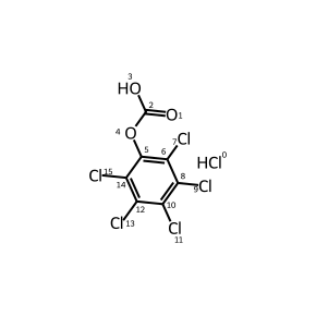 Cl.O=C(O)Oc1c(Cl)c(Cl)c(Cl)c(Cl)c1Cl